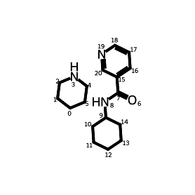 C1CCNCC1.O=C(NC1CCCCC1)c1cccnc1